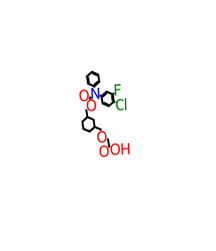 O=C(O)COCC1CCCC(COC(=O)N(c2ccccc2)c2ccc(Cl)c(F)c2)C1